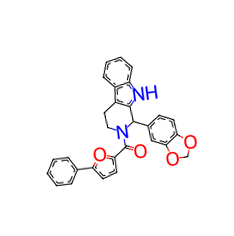 O=C(c1ccc(-c2ccccc2)o1)N1CCc2c([nH]c3ccccc23)C1c1ccc2c(c1)OCO2